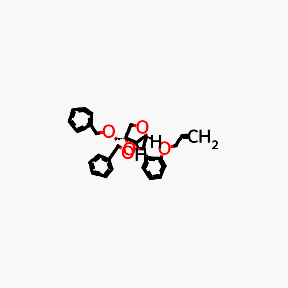 C=CCOc1ccccc1[C@@H]1O[C@@]2(COCc3ccccc3)CO[C@@H]1[C@@H]2OCc1ccccc1